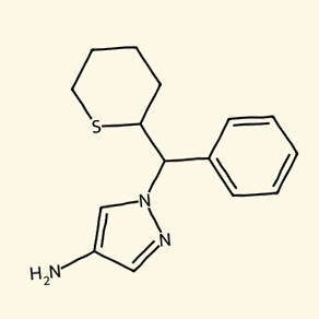 Nc1cnn(C(c2ccccc2)C2CCCCS2)c1